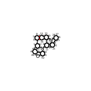 c1ccc(-c2cccc(N(c3cccc(-c4c(-n5c6ccccc6c6ccccc65)ccc5ccccc45)c3)c3cccc4oc5ccccc5c34)c2)cc1